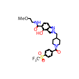 COCCNC(=O)c1ccc2nn(CC3CCN(C(=O)c4ccc(S(=O)(=O)C(F)(F)F)cc4)CC3)cc2c1O